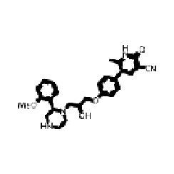 COc1ccccc1C1CNCCN1CC(O)COc1ccc(-c2cc(C#N)c(=O)[nH]c2C)cc1